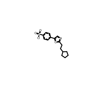 O=S(=O)(Cl)c1ccc(-c2cnc(CCC3CCCC3)o2)cc1